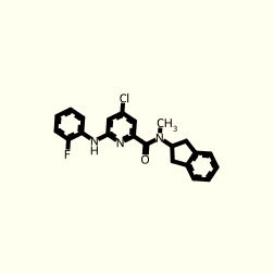 CN(C(=O)c1cc(Cl)cc(Nc2ccccc2F)n1)C1Cc2ccccc2C1